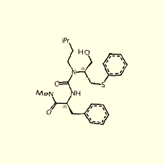 CNC(=O)[C@H](Cc1ccccc1)NC(=O)N(CCC(C)C)[C@@H](CO)CSc1ccccc1